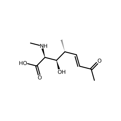 CN[C@H](C(=O)O)[C@H](O)[C@H](C)/C=C/C(C)=O